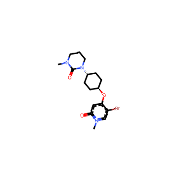 CN1CCCN([C@H]2CC[C@H](Oc3cc(=O)n(C)cc3Br)CC2)C1=O